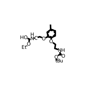 CCOC(O)NCCOc1cc(C)ccc1OCCNC(=O)OC(C)(C)C